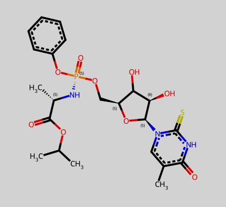 Cc1cn([C@H]2O[C@@H](CO[P@@](=O)(N[C@@H](C)C(=O)OC(C)C)Oc3ccccc3)C(O)[C@H]2O)c(=S)[nH]c1=O